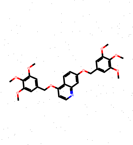 COc1cc(COc2ccc3c(OCc4cc(OC)c(OC)c(OC)c4)ccnc3c2)cc(OC)c1OC